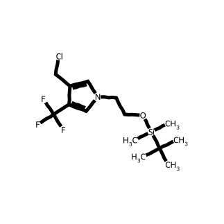 CC(C)(C)[Si](C)(C)OCCn1cc(CCl)c(C(F)(F)F)c1